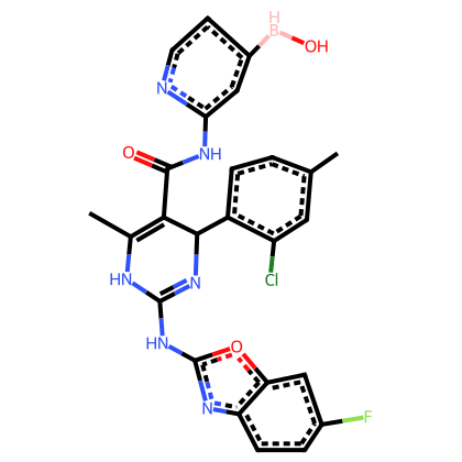 CC1=C(C(=O)Nc2cc(BO)ccn2)C(c2ccc(C)cc2Cl)N=C(Nc2nc3ccc(F)cc3o2)N1